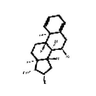 CC[C@H]1[C@H](C)C[C@H]2[C@@H]3[C@H](Br)CC4=CCC=C[C@]4(C)[C@@]3(F)CC[C@@]21C